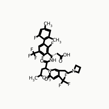 Cc1cc(C)c(-c2cc(C(F)(F)F)c(F)c([C@H](CC(=O)O)NC(=O)C(CC(C)C)n3cc(CCN4CCC4)c(C(F)(F)F)cc3=O)c2F)c(F)c1